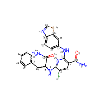 NC(=O)c1cc(F)c(NC(Cc2ccccc2)C(N)=O)nc1Nc1ccc2ncsc2c1